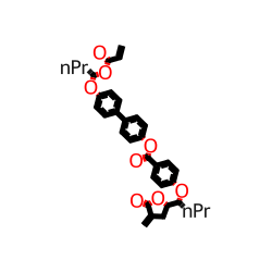 C=CC(=O)OC(CCC)Oc1ccc(-c2ccc(OC(=O)c3ccc(OC(CCC)C4CC(=C)C(=O)O4)cc3)cc2)cc1